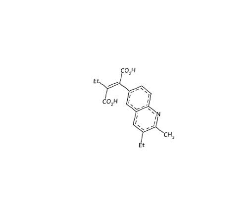 CCC(C(=O)O)=C(C(=O)O)c1ccc2nc(C)c(CC)cc2c1